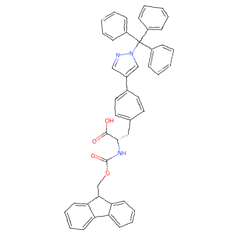 O=C(N[C@@H](Cc1ccc(-c2cnn(C(c3ccccc3)(c3ccccc3)c3ccccc3)c2)cc1)C(=O)O)OCC1c2ccccc2-c2ccccc21